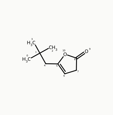 CC(C)(C)CC1=CCC(=O)O1